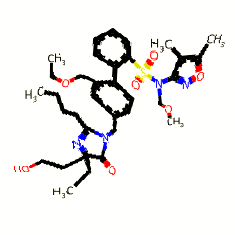 CCCCC1=NC(CC)(CCO)C(=O)N1Cc1ccc(-c2ccccc2S(=O)(=O)N(COC)c2noc(C)c2C)c(COCC)c1